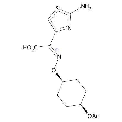 CC(=O)O[C@H]1CC[C@@H](O/N=C(\C(=O)O)c2csc(N)n2)CC1